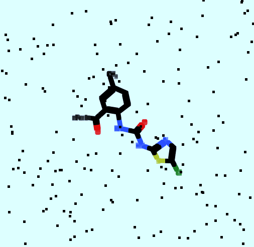 CCCCCC(=O)c1cc(C)ccc1NC(=O)Nc1ncc(Cl)s1